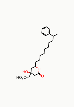 CC(CCCCCCCCC1CC(O)(CC(=O)O)CC(=O)O1)c1ccccc1